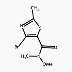 CON(C)C(=O)c1sc(C)nc1Br